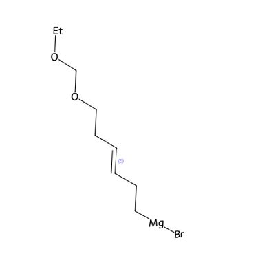 CCOCOCC/C=C/C[CH2][Mg][Br]